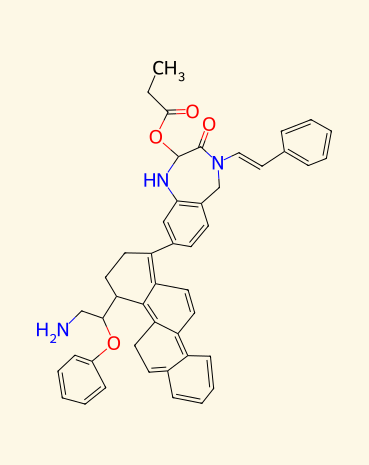 CCC(=O)OC1Nc2cc(C3=c4ccc5c(c4C(C(CN)Oc4ccccc4)CC3)CC=c3ccccc3=5)ccc2CN(C=Cc2ccccc2)C1=O